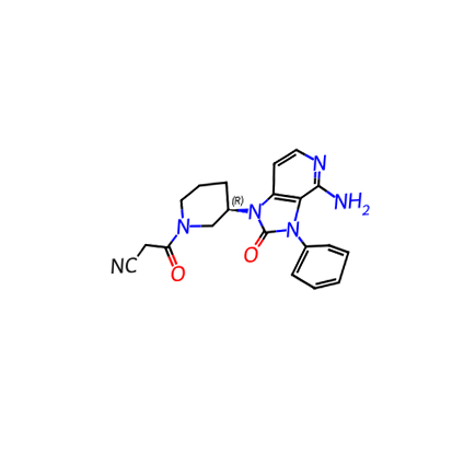 N#CCC(=O)N1CCC[C@@H](n2c(=O)n(-c3ccccc3)c3c(N)nccc32)C1